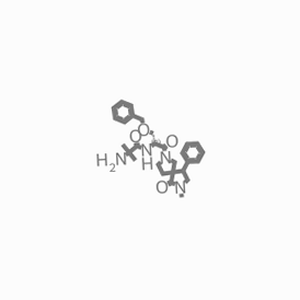 CN1CC(c2ccccc2)C2(CCN(C(=O)[C@@H](COCc3ccccc3)NC(=O)C(C)(C)N)C2)C1=O